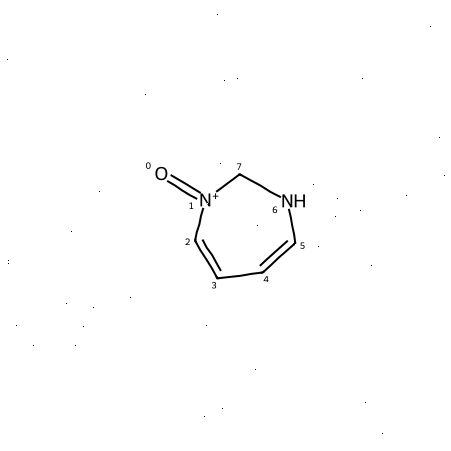 O=[N+]1C=CC=CNC1